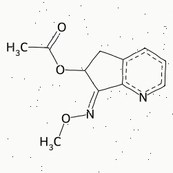 CO/N=C1/c2ncccc2CC1OC(C)=O